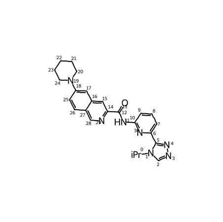 CC(C)n1cnnc1-c1cccc(NC(=O)c2cc3cc(N4CCCCC4)ccc3cn2)n1